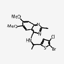 COc1cc2nc(C)nc(NC(C)c3cc(Cl)c(Br)s3)c2cc1OC